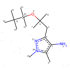 Cc1c(N)c(CC(C)(C)O[Si](C)(C)C(C)(C)C)nn1C